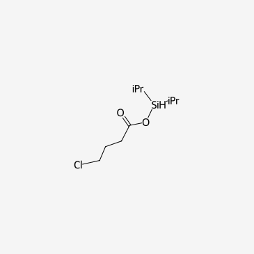 CC(C)[SiH](OC(=O)CCCCl)C(C)C